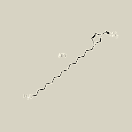 Br.C=CN1C=CN(CCCCCCCCCCCCCCCC)C1